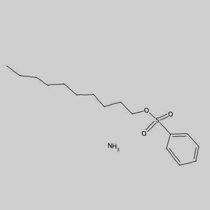 CCCCCCCCCCOS(=O)(=O)c1ccccc1.N